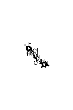 Cc1cc(C)c(CNC(=O)c2cc(NC(=O)c3cc(F)c(F)cc3Cl)[nH]n2)cn1